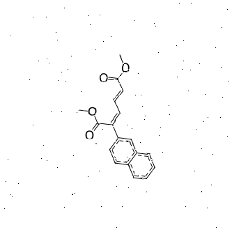 COC(=O)C=CC=C(C(=O)OC)c1ccc2ccccc2c1